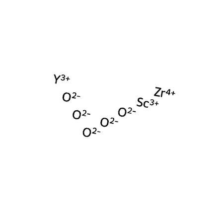 [O-2].[O-2].[O-2].[O-2].[O-2].[Sc+3].[Y+3].[Zr+4]